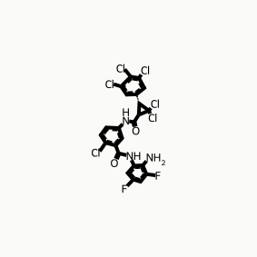 Nc1c(F)cc(F)cc1NC(=O)c1cc(NC(=O)C2[C@H](c3cc(Cl)c(Cl)c(Cl)c3)C2(Cl)Cl)ccc1Cl